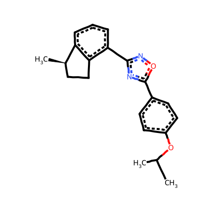 CC(C)Oc1ccc(-c2nc(-c3cccc4c3CC[C@H]4C)no2)cc1